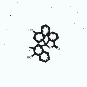 O=C1OC(c2ccc(O)c3ccccc23)(c2cc(F)c(O)c3ccccc23)c2ccccc21